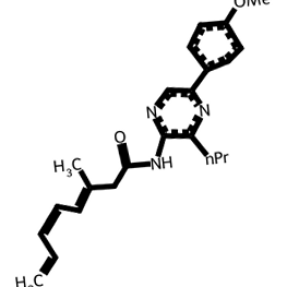 C=C/C=C\C=C(/C)CC(=O)Nc1ncc(-c2ccc(OC)cc2)nc1CCC